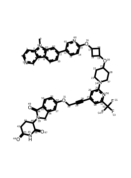 Cn1c2ccncc2c2ccc(-c3ccc(OC4CC(OC5CCN(c6cc(C#CCOc7ccc8c(c7)CN(C7CCC(=O)NC7=O)C8=O)cc(C(F)(F)F)n6)CC5)C4)nc3)cc21